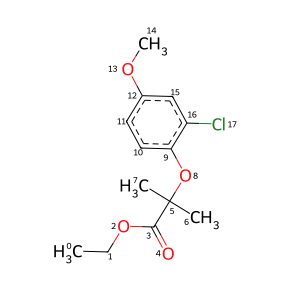 CCOC(=O)C(C)(C)Oc1ccc(OC)cc1Cl